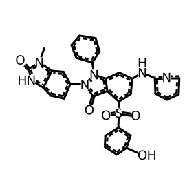 Cn1c(=O)[nH]c2ccc(-n3c(=O)c4c(S(=O)(=O)c5cccc(O)c5)cc(Nc5ccccn5)cc4n3-c3ccccc3)cc21